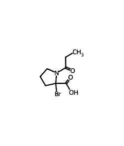 CCC(=O)N1CCCC1(Br)C(=O)O